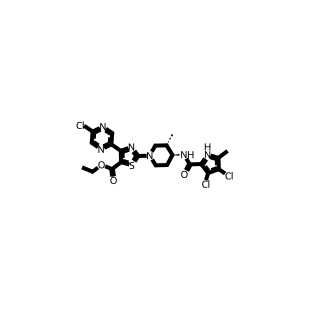 CCOC(=O)c1sc(N2CC[C@@H](NC(=O)c3[nH]c(C)c(Cl)c3Cl)[C@@H](C)C2)nc1-c1cnc(Cl)cn1